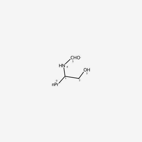 CCCC(CO)N[C]=O